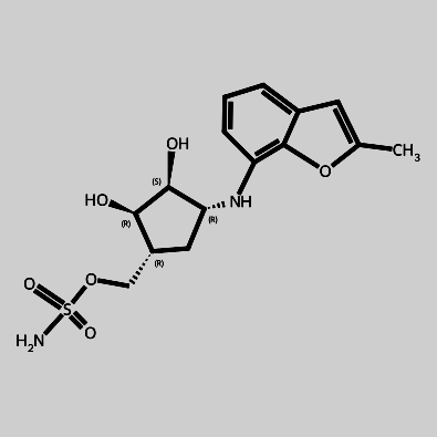 Cc1cc2cccc(N[C@@H]3C[C@H](COS(N)(=O)=O)[C@@H](O)[C@H]3O)c2o1